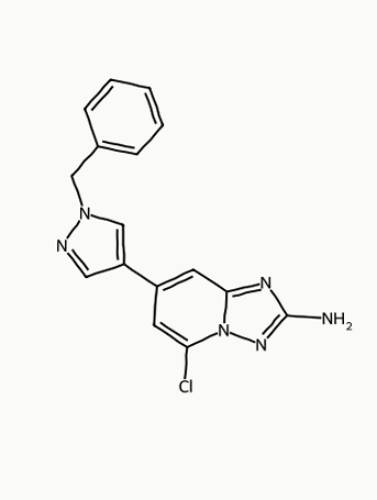 Nc1nc2cc(-c3cnn(Cc4ccccc4)c3)cc(Cl)n2n1